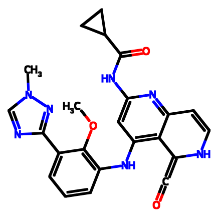 COc1c(Nc2cc(NC(=O)C3CC3)nc3c2C(=C=O)NC=C3)cccc1-c1ncn(C)n1